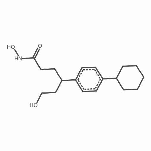 O=C(CCC(CCO)c1ccc(C2CCCCC2)cc1)NO